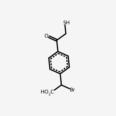 O=C(CS)c1ccc(C(Br)C(=O)O)cc1